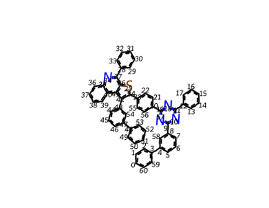 c1ccc(-c2cccc(-c3nc(-c4ccccc4)nc(-c4ccc(-c5sc6c(-c7ccccc7)nc7ccccc7c6c5-c5cccc(-c6ccccc6)c5)cc4)n3)c2)cc1